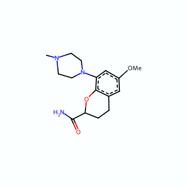 COc1cc2c(c(N3CCN(C)CC3)c1)OC(C(N)=O)CC2